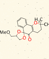 COCC1COC2(O1)C(=O)C1=C(OC(C)(C)CC1)c1ccccc12